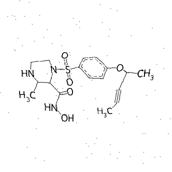 CC#CC(C)Oc1ccc(S(=O)(=O)N2CCNC(C)C2C(=O)NO)cc1